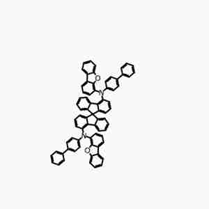 c1ccc(-c2ccc(N(c3cccc4c3-c3ccccc3C43c4ccccc4-c4c(N(c5ccc(-c6ccccc6)cc5)c5cccc6c5oc5ccccc56)cccc43)c3cccc4c3oc3ccccc34)cc2)cc1